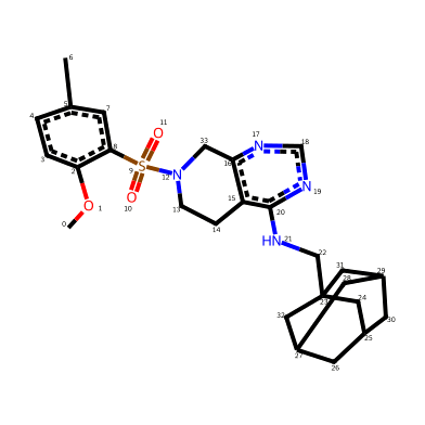 COc1ccc(C)cc1S(=O)(=O)N1CCc2c(ncnc2NCC23CC4CC(CC(C4)C2)C3)C1